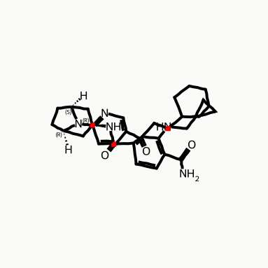 NC(=O)c1ccc(C(=O)N[C@H]2C[C@H]3CC[C@@H](C2)N3c2ccc(C(=O)CCC3CCCCC3)cn2)cc1NCC1CC1